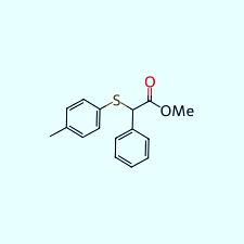 COC(=O)C(Sc1ccc(C)cc1)c1ccccc1